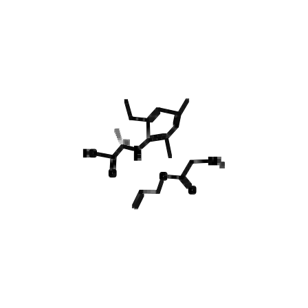 C=CCOC(=O)CN.CCc1cc(C)cc(C)c1N[C@@H](C)C(=O)O